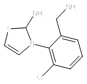 NCc1cccc(Cl)c1N1C=CSC1N